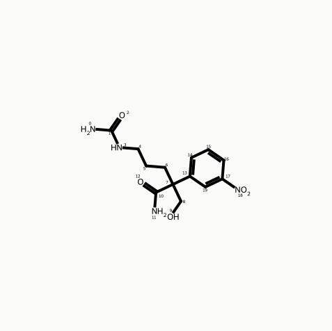 NC(=O)NCCCC(CO)(C(N)=O)c1cccc([N+](=O)[O-])c1